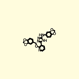 c1cnc(OCc2ccc3c(c2)OCO3)c(-c2nnc(Nc3ccc4c(c3)OCO4)[nH]2)c1